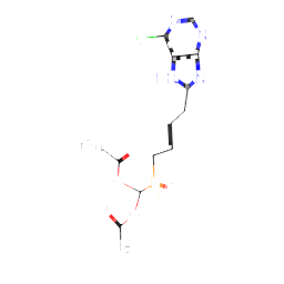 CC(C)(C)C(=O)OC(OC(=O)C(C)(C)C)[PH](=O)C/C=C/Cc1nc2ncnc(Cl)c2[nH]1